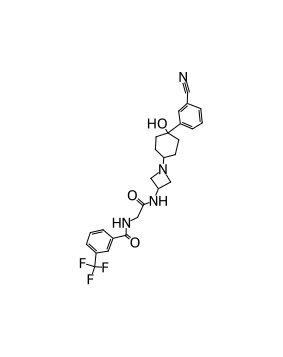 N#Cc1cccc(C2(O)CCC(N3CC(NC(=O)CNC(=O)c4cccc(C(F)(F)F)c4)C3)CC2)c1